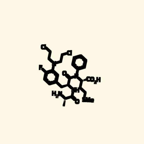 CSCC[C@@H](C(=O)O)N(C(=O)[C@H](Cc1ccc(F)c(N(CCCl)CCCl)c1)NC(=O)[C@H](C)N)c1ccccc1